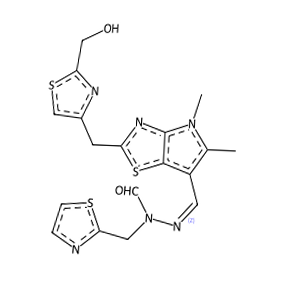 Cc1c(/C=N\N(C=O)Cc2nccs2)c2sc(Cc3csc(CO)n3)nc2n1C